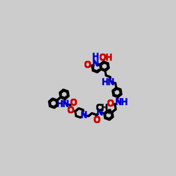 CN(C(=O)CCN1CCC(OC(=O)Nc2ccccc2-c2ccccc2)CC1)c1cccc(CC(=O)Nc2ccc(CNCCc3ccc(O)c4[nH]c(=O)ccc34)cc2)c1